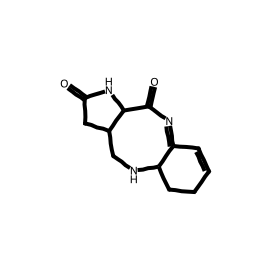 O=C1CC2CNC3CCC=CC3=NC(=O)C2N1